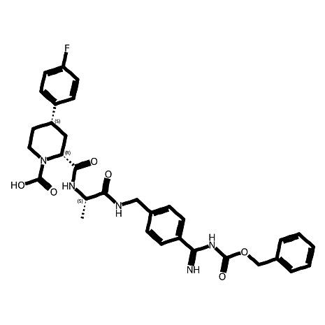 C[C@H](NC(=O)[C@H]1C[C@@H](c2ccc(F)cc2)CCN1C(=O)O)C(=O)NCc1ccc(C(=N)NC(=O)OCc2ccccc2)cc1